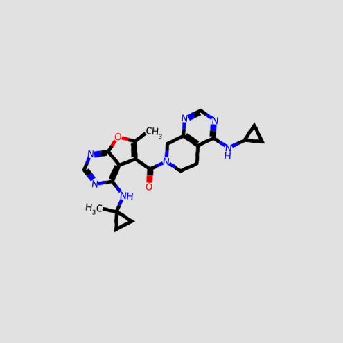 Cc1oc2ncnc(NC3(C)CC3)c2c1C(=O)N1CCc2c(ncnc2NC2CC2)C1